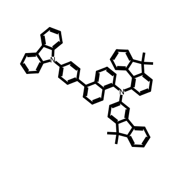 CC1(C)c2ccccc2-c2cc(N(c3cccc4c3-c3ccccc3C4(C)C)c3cccc4c(-c5ccc(-n6c7ccccc7c7ccccc76)cc5)cccc34)ccc21